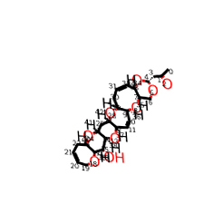 CC(=O)C[C@@H]1OC[C@H]2O[C@H]3C=C[C@H]4O[C@H]5[C@H](O)[C@H]6OCC=CC[C@@H]6O[C@@H]5C[C@@H]4O[C@@H]3C/C=C\[C@@H]2O1